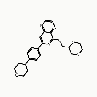 c1cnc2c(OC[C@@H]3CNCCO3)nc(-c3ccc(C4CCOCC4)cc3)cc2n1